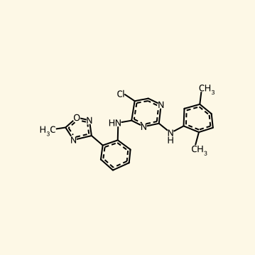 Cc1ccc(C)c(Nc2ncc(Cl)c(Nc3ccccc3-c3noc(C)n3)n2)c1